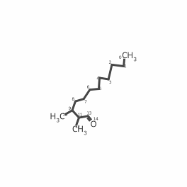 CCCCCCCCCC(C)C(C)C=O